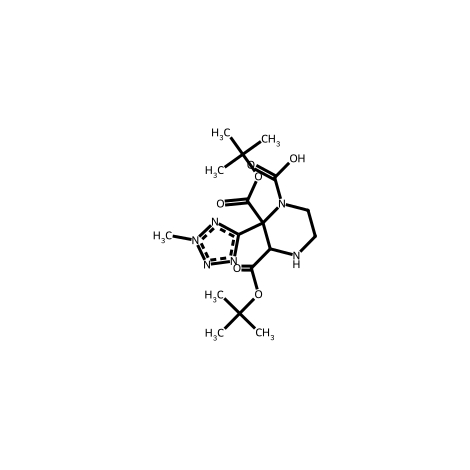 Cn1nnc(C2(C(=O)OC(C)(C)C)C(C(=O)OC(C)(C)C)NCCN2C(=O)O)n1